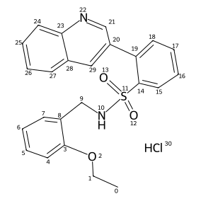 CCOc1ccccc1CNS(=O)(=O)c1ccccc1-c1cnc2ccccc2c1.Cl